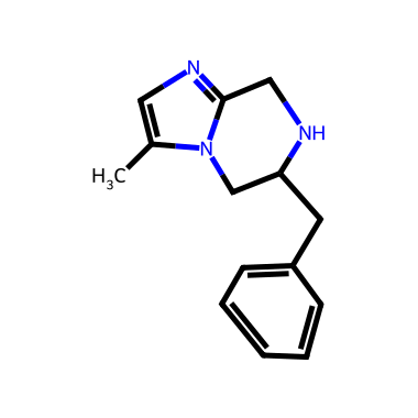 Cc1cnc2n1CC(Cc1ccccc1)NC2